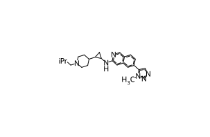 CC(C)CN1CCC(C2CC2Nc2cc3cc(-c4cnnn4C)ccc3cn2)CC1